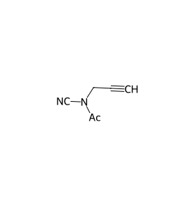 C#CCN(C#N)C(C)=O